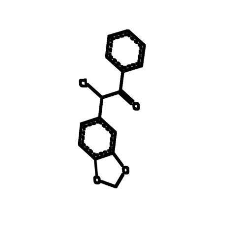 O=C(c1ccccc1)C(Cl)c1ccc2c(c1)OCO2